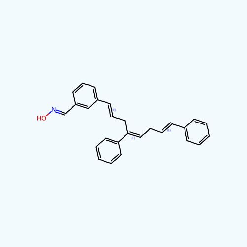 ON=Cc1cccc(/C=C/C/C(=C\C/C=C/c2ccccc2)c2ccccc2)c1